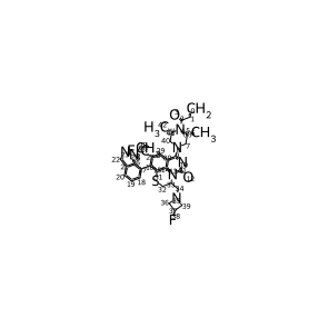 C=CC(=O)N1[C@H](C)CN(c2nc(=O)n3c4c(c(-c5cccc6cnn(C)c56)c(C(F)(F)F)cc24)SCC3CN2CC(F)C2)C[C@@H]1C